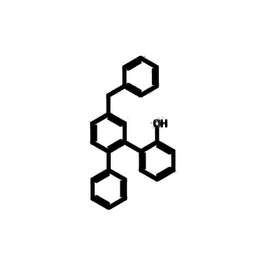 Oc1ccccc1-c1cc(Cc2ccccc2)ccc1-c1ccccc1